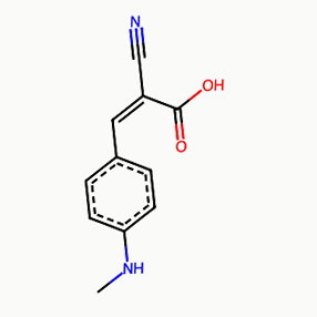 CNc1ccc(C=C(C#N)C(=O)O)cc1